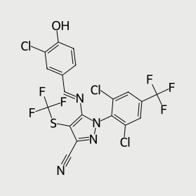 N#Cc1nn(-c2c(Cl)cc(C(F)(F)F)cc2Cl)c(N=Cc2ccc(O)c(Cl)c2)c1SC(F)(F)F